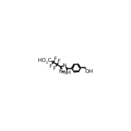 O=C(O)C(F)(F)C(F)(F)c1n[nH]c(-c2ccc(CO)cc2)n1